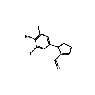 Cc1cc(C2CCCN2C=O)cc(F)c1Br